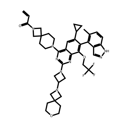 C=CC(=O)N1CC2(CCN(c3nc(N4CC(N5CC6(CCOCC6)C5)C4)nc4c(OCC(F)(F)F)c(-c5c(C)ccc6[nH]ncc56)c(C5CC5)cc34)CC2)C1